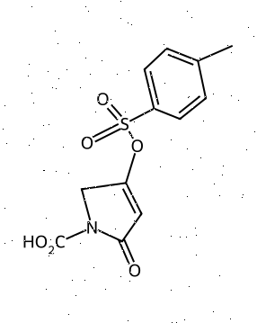 Cc1ccc(S(=O)(=O)OC2=CC(=O)N(C(=O)O)C2)cc1